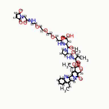 CCc1c2c(nc3ccccc13)-c1cc3c(c(=O)n1C2)COC(=O)[C@@]3(CC)OC(=O)[C@@H](NC(=O)[C@@H]1CCCN1C(=O)[C@H](CC(=O)O)NC(=O)CCOCCOCCOCCNC(=O)CN1C(=O)C=CC1=O)C(C)C